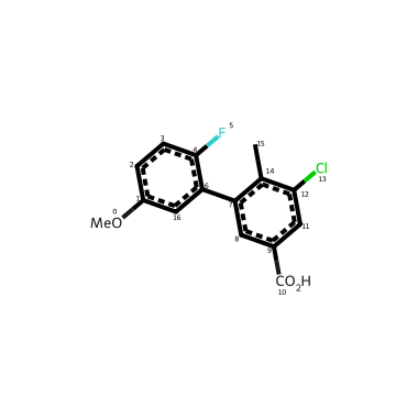 COc1ccc(F)c(-c2cc(C(=O)O)cc(Cl)c2C)c1